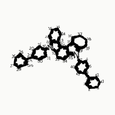 c1ccc(-c2ccc(-n3c4c(c5c6c7ccccc7n(-c7ccc(-c8ccccc8)cc7)c6ccc53)CCCC4)cc2)cc1